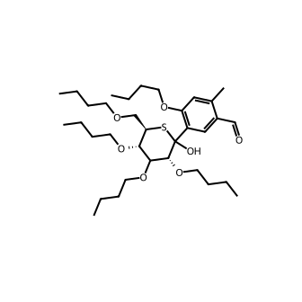 CCCCOC[C@H]1SC(O)(c2cc(C=O)c(C)cc2OCCCC)[C@H](OCCCC)C(OCCCC)[C@@H]1OCCCC